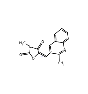 Cc1nc2ccccc2cc1/C=C1/OC(=O)N(C)C1=O